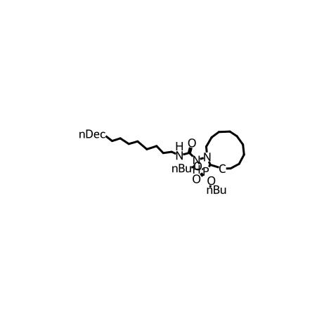 CCCCCCCCCCCCCCCCCCNC(=O)NN1CCCCCCCCCCC1P(=O)(OCCCC)OCCCC